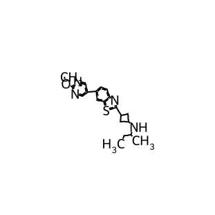 CCC(C)NC1CC(c2nc3ccc(-c4cnc(OC)nc4)cc3s2)C1